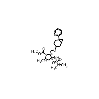 COC(=O)N1[C@H](C)C[C@H](NS(=O)(=O)N(C)C)[C@@H]1COC1CCC2(c3ccccn3)CC2C1